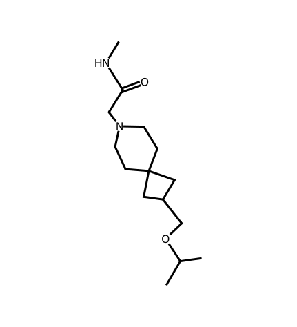 CNC(=O)CN1CCC2(CC1)CC(COC(C)C)C2